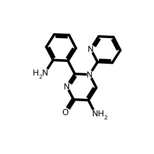 Nc1ccccc1-c1nc(=O)c(N)cn1-c1ccccn1